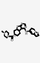 CN1CCN(C(=O)[C@H]2CCc3c(sc4ncnc(Nc5ccn6nccc6c5)c34)C2)CC1